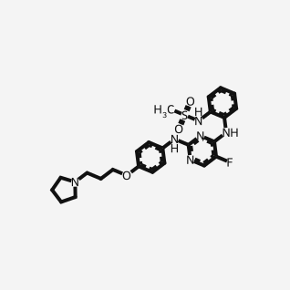 CS(=O)(=O)Nc1ccccc1Nc1nc(Nc2ccc(OCCCN3CCCC3)cc2)ncc1F